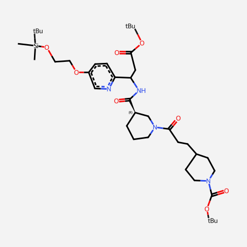 CC(C)(C)OC(=O)CC(NC(=O)[C@@H]1CCCN(C(=O)CCC2CCN(C(=O)OC(C)(C)C)CC2)C1)c1ccc(OCCO[Si](C)(C)C(C)(C)C)cn1